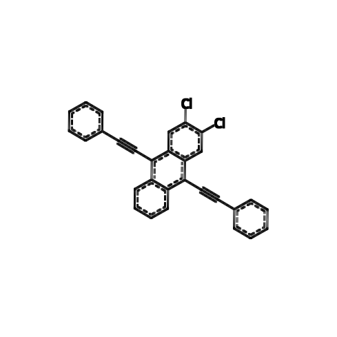 Clc1cc2c(C#Cc3ccccc3)c3ccccc3c(C#Cc3ccccc3)c2cc1Cl